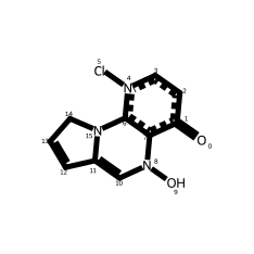 O=c1ccn(Cl)c2c1N(O)C=C1C=CCN12